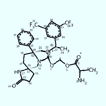 CC(N)C(=O)OCOC(=O)N1C[C@@]2(CCC(=O)N2)CC[C@@]1(CO[C@H](C)c1cc(C(F)(F)F)cc(C(F)(F)F)c1)c1ccccc1